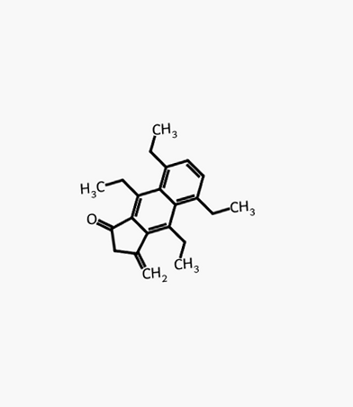 C=C1CC(=O)c2c1c(CC)c1c(CC)ccc(CC)c1c2CC